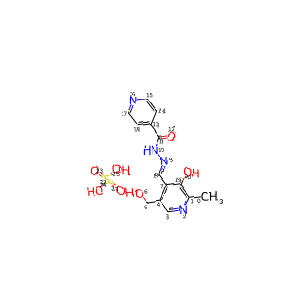 Cc1ncc(CO)c(C=NNC(=O)c2ccncc2)c1O.O=S(=O)(O)O